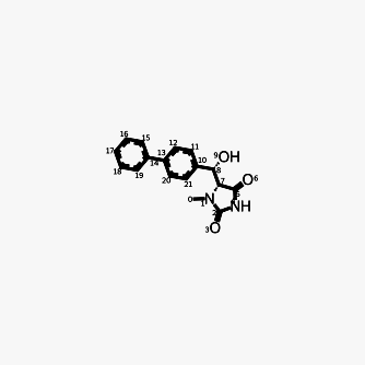 CN1C(=O)NC(=O)[C@H]1[C@@H](O)c1ccc(-c2ccccc2)cc1